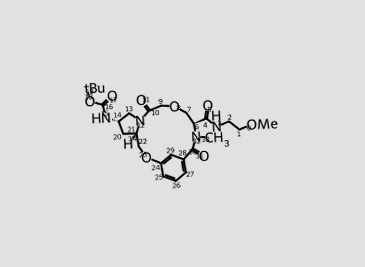 COCCNC(=O)[C@@H]1COCC(=O)N2C[C@@H](NC(=O)OC(C)(C)C)C[C@H]2COc2cccc(c2)C(=O)N1C